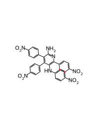 Nc1nc(-c2ccc([N+](=O)[O-])cc2)c(Nc2ccc([N+](=O)[O-])cc2)c(-c2ccc([N+](=O)[O-])cc2)c1-c1ccc([N+](=O)[O-])cc1